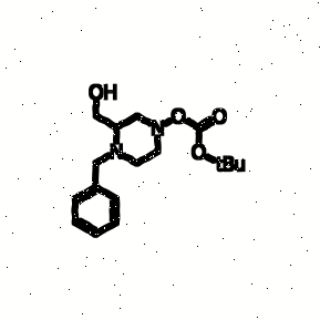 CC(C)(C)OC(=O)ON1CCN(Cc2ccccc2)C(CO)C1